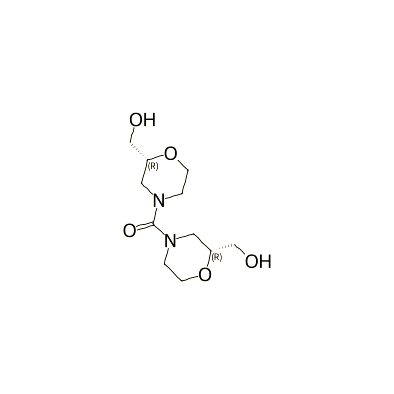 O=C(N1CCO[C@@H](CO)C1)N1CCO[C@@H](CO)C1